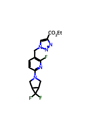 CCOC(=O)c1cn(Cc2ccc(N3CC4C(C3)C4(F)F)nc2F)nn1